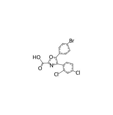 O=C(O)c1nc(-c2ccc(Cl)cc2Cl)c(-c2ccc(Br)cc2)o1